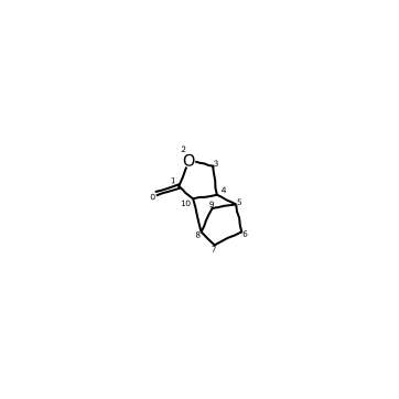 C=C1OCC2C3CCC(C3)C12